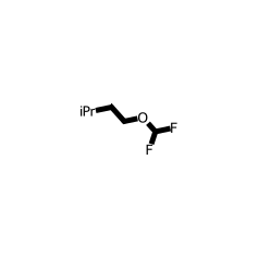 CC(C)[CH]COC(F)F